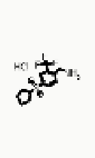 Cl.NCc1ccc(S(=O)(=O)C2CCCC2)cc1C(F)(F)F